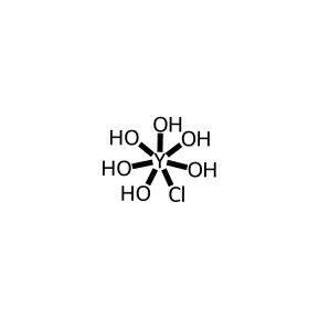 [OH][Y]([OH])([OH])([OH])([OH])([OH])[Cl]